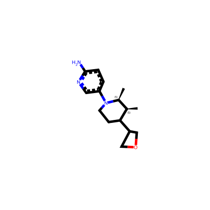 C[C@H]1C(C2COC2)CCN(c2ccc(N)nc2)[C@H]1C